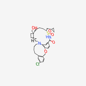 O=C1NS(=O)(=O)[C@H](CC2CC2)CC/C=C\C2(CO)CC[C@H]2CN2CCCCc3cc(Cl)ccc3COc3ccc1cc32